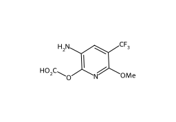 COc1nc(OC(=O)O)c(N)cc1C(F)(F)F